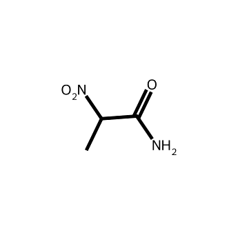 CC(C(N)=O)[N+](=O)[O-]